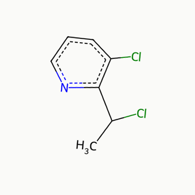 CC(Cl)c1ncccc1Cl